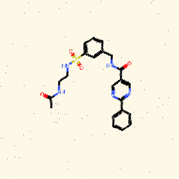 CC(=O)NCCNS(=O)(=O)c1cccc(CNC(=O)c2cnc(-c3ccccc3)nc2)c1